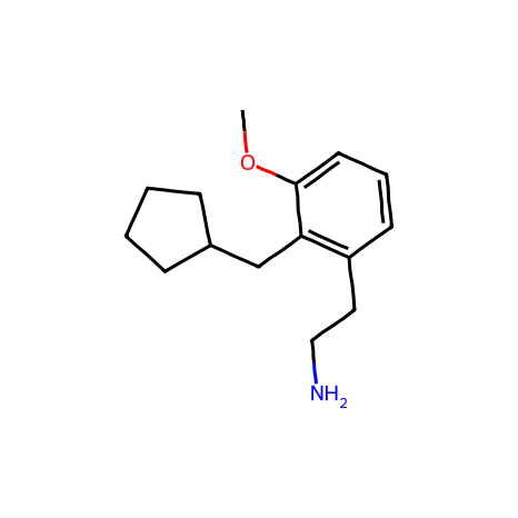 COc1cccc(CCN)c1CC1CCCC1